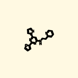 c1ccc(CCNc2cc(-n3cccn3)nc(-c3ccco3)n2)nc1